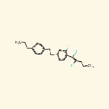 CCCC(F)=C(F)c1ccc(CCc2ccc(CCC)cc2)cc1F